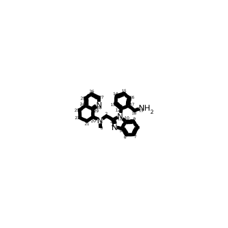 CN(Cc1nc2ccccc2n1-c1ccccc1CN)C1CCCc2cccnc21